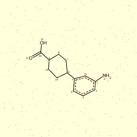 Nc1cccc(C2CCC(C(=O)O)CC2)c1